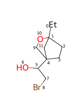 CCC12CCC(C(O)CBr)(CO1)C2